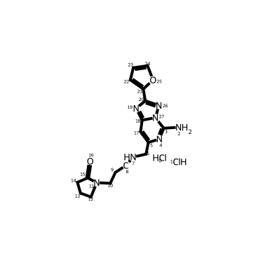 Cl.Cl.Nc1nc(CNCCCN2CCCC2=O)cc2nc(-c3ccco3)nn12